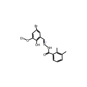 CCOc1cc(Br)cc(/C=N/NC(=O)c2cccc(C)c2C)c1O